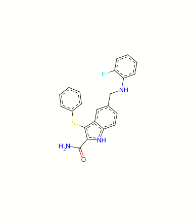 NC(=O)c1[nH]c2ccc(CNc3ccccc3F)cc2c1Sc1ccccc1